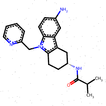 CC(C)C(=O)N[C@@H]1CCc2c(c3cc(N)ccc3n2Cc2ccccn2)C1